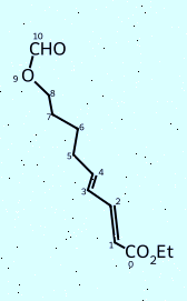 CCOC(=O)C=CC=CCCCCOC=O